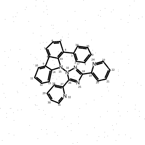 c1ccc(-c2cccc3c4ccccc4n(-n4nc(-c5ccccn5)nc4-c4ccccn4)c23)cc1